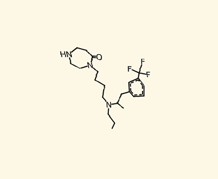 CCCN(CCCCN1CCNCCC1=O)C(C)Cc1cccc(C(F)(F)F)c1